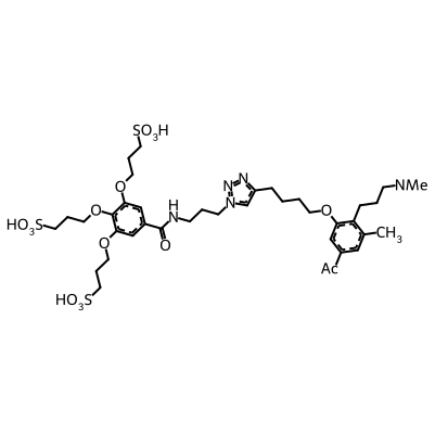 CNCCCc1c(C)cc(C(C)=O)cc1OCCCCc1cn(CCCNC(=O)c2cc(OCCCS(=O)(=O)O)c(OCCCS(=O)(=O)O)c(OCCCS(=O)(=O)O)c2)nn1